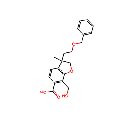 CC1(CCOCc2ccccc2)COc2c1ccc(C(=O)O)c2CO